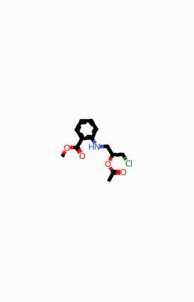 COC(=O)c1ccccc1NCC(CCl)OC(C)=O